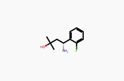 CC(C)(O)C[C@@H](N)c1ccccc1F